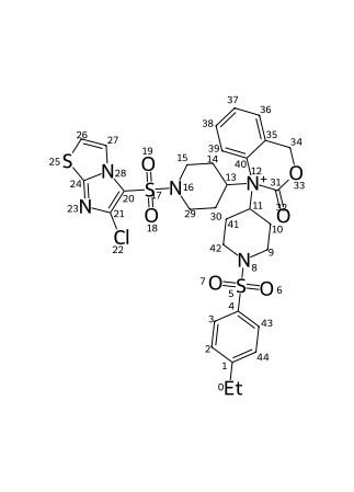 CCc1ccc(S(=O)(=O)N2CCC([N+]3(C4CCN(S(=O)(=O)c5c(Cl)nc6sccn56)CC4)C(=O)OCc4ccccc43)CC2)cc1